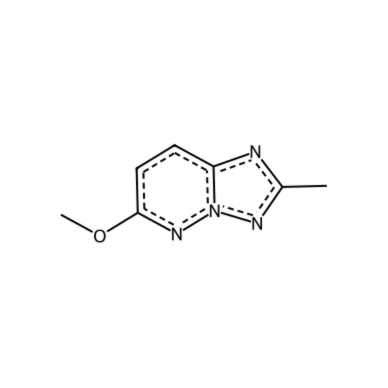 COc1ccc2nc(C)nn2n1